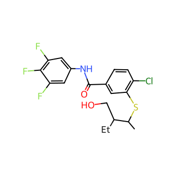 CCC(CO)C(C)Sc1cc(C(=O)Nc2cc(F)c(F)c(F)c2)ccc1Cl